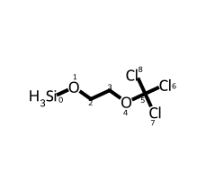 [SiH3]OCCOC(Cl)(Cl)Cl